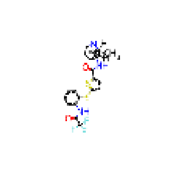 C[C@H]1[C@H](NC(=O)c2ccc(Sc3ccccc3NC(=O)C(F)(F)F)s2)C2CCN1CC2